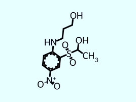 CC(O)S(=O)(=O)c1cc([N+](=O)[O-])ccc1NCCCO